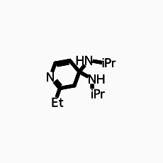 CCC1=NC=CC(NC(C)C)(NC(C)C)C1